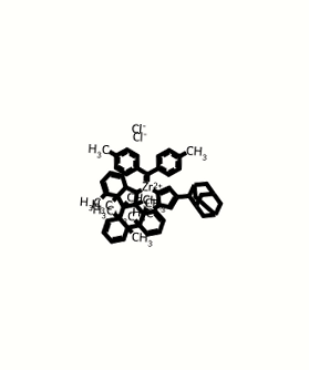 CC1=CC=CC2[CH]([Zr+2]([C]3=CC(C4C5CC6CC(C5)CC4C6)=CC3C)=[C](c3ccc(C)cc3)c3ccc(C)cc3)C3(C)C4(C)C=CC=CC4(C)C4(C)C=CC=CC4(C)C3(C)C12C.[Cl-].[Cl-]